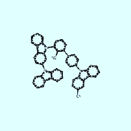 N#Cc1ccc2c(c1)c1ccccc1n2-c1ccc(-c2cccc(-n3c4ccccc4c4ccc(-n5c6ccccc6c6ccccc65)cc43)c2C#N)cc1